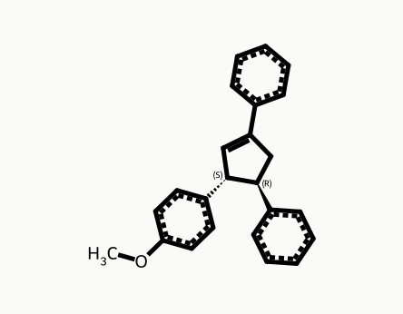 COc1ccc([C@@H]2C=C(c3ccccc3)C[C@H]2c2ccccc2)cc1